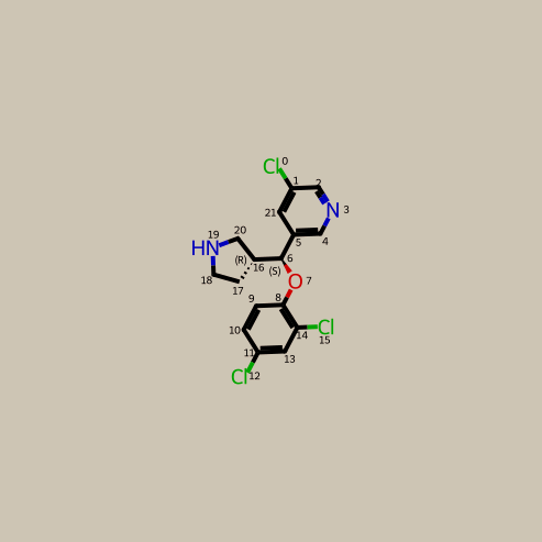 Clc1cncc([C@@H](Oc2ccc(Cl)cc2Cl)[C@@H]2CCNC2)c1